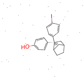 Oc1ccc([C@]2(c3ccc(I)cc3)CC3CCC2C3)cc1